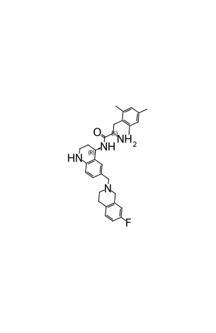 Cc1cc(C)c(C[C@H](N)C(=O)N[C@@H]2CCNc3ccc(CN4CCc5ccc(F)cc5C4)cc32)c(C)c1